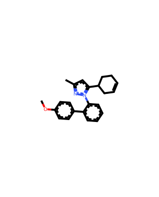 COc1ccc(-c2ccccc2-n2nc(C)cc2C2CC=CCC2)cc1